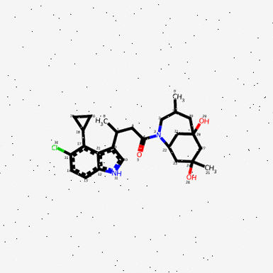 CC1CN(C(=O)CC(C)c2c[nH]c3ccc(Cl)c(C4CC4)c23)C2CC(C)(O)CC(O)(C1)C2